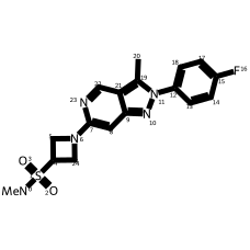 CNS(=O)(=O)C1CN(c2cc3nn(-c4ccc(F)cc4)c(C)c3cn2)C1